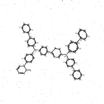 CC1C=CC=CC1c1ccc(N(c2ccc(C3=CC=C(N(c4ccc(-c5ccccc5)cc4)c4ccc(-c5ccccc5)cc4)CC3)cc2)c2ccc(-c3ccccc3)cc2)cc1